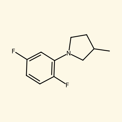 CC1CCN(c2cc(F)ccc2F)C1